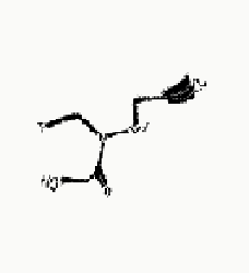 C#CCNN(CF)C(=O)O